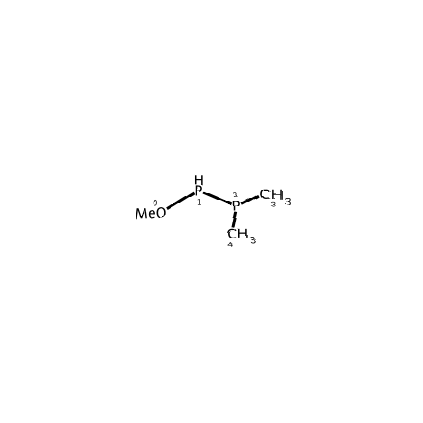 COPP(C)C